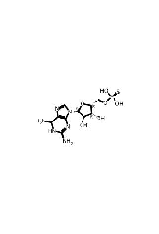 NC1=Nc2c(ncn2[C@@H]2O[C@H](COP(O)(O)=S)[C@H](O)C2O)C(N)N1